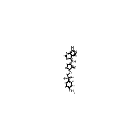 Cc1ccc(C(F)(F)CO[C@H]2CC[C@H](Nc3ncnc4[nH]ncc34)[C@H]2F)cc1